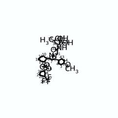 COc1ccc(-c2cc(-c3ccccc3OS(=O)(=O)c3cccc(C(F)(F)F)c3)nn2CC(=O)NC(CC(C)C)B(O)O)cc1